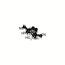 CCCN(Cc1cc(Cl)c(OCc2cccc(-c3cccc(COc4cc(OCc5cncc(C#N)c5)c(CN(CCC)[C@@H](CCO)C(=O)O)cc4Cl)c3C)c2C)cc1OCc1cncc(C#N)c1)[C@@H](CCO)C(=O)O